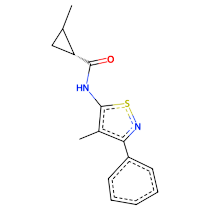 Cc1c(-c2ccccc2)nsc1NC(=O)[C@@H]1CC1C